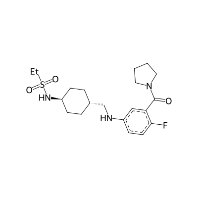 CCS(=O)(=O)N[C@H]1CC[C@H](CNc2ccc(F)c(C(=O)N3CCCC3)c2)CC1